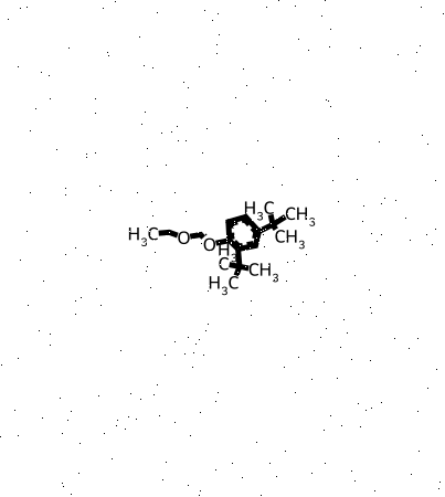 CCO[CH]Oc1ccc(C(C)(C)C)cc1C(C)(C)C